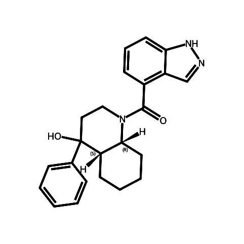 O=C(c1cccc2[nH]ncc12)N1CCC(O)(c2ccccc2)[C@H]2CCCC[C@H]21